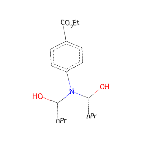 CCCC(O)N(c1ccc(C(=O)OCC)cc1)C(O)CCC